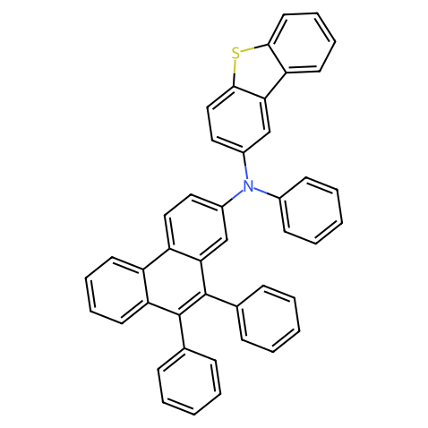 c1ccc(-c2c(-c3ccccc3)c3cc(N(c4ccccc4)c4ccc5sc6ccccc6c5c4)ccc3c3ccccc23)cc1